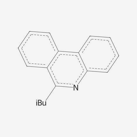 CCC(C)c1nc2ccccc2c2ccccc12